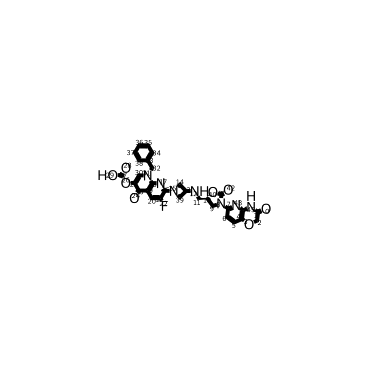 O=C1COc2ccc(N3C[C@@H](CNC4CN(c5nc6c(cc5F)c(=O)c(OC(=O)O)cn6Cc5ccccc5)C4)OC3=O)nc2N1